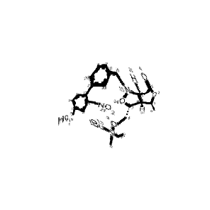 C[C@@H]1OC(=O)[C@@H]2[C@H]1[C@H](CO[Si](C)(C)C(C)(C)C)ON2Cc1cccc(-c2ccc(C(=O)O)cc2[N+](=O)[O-])c1